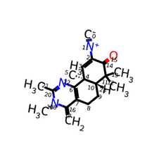 [C-]#[N+]C1=C[C@]2(C)C3=C(CC[C@H]2C(C)(C)C1=O)C(=C)N(C)C(C)=N3